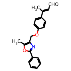 C/C(=C\C=O)c1ccc(OCc2nc(-c3ccccc3)oc2C)cc1